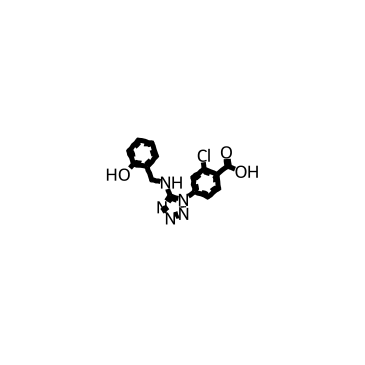 O=C(O)c1ccc(-n2nnnc2NCc2ccccc2O)cc1Cl